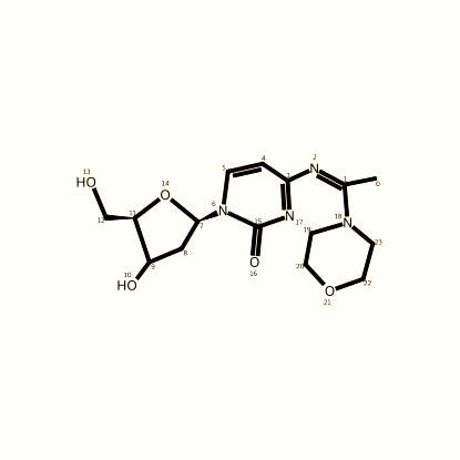 CC(=Nc1ccn([C@H]2CC(O)[C@@H](CO)O2)c(=O)n1)N1CCOCC1